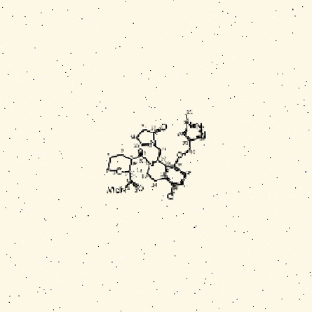 CNC(=O)[C@@]1(C)CCCC[C@H]1C(=O)N1CCc2c(Cl)ccc(OCc3cn(C)nn3)c2C1CN1CCCC1=O